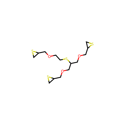 C(CSC(COCC1CS1)COCC1CS1)OCC1CS1